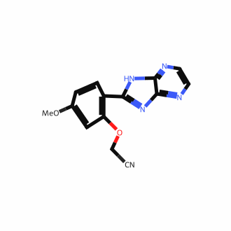 COc1ccc(-c2nc3nccnc3[nH]2)c(OCC#N)c1